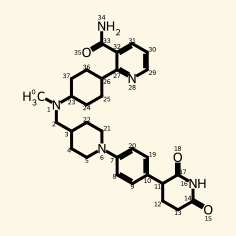 CN(CC1CCN(c2ccc(C3CCC(=O)NC3=O)cc2)CC1)C1CCC(c2ncccc2C(N)=O)CC1